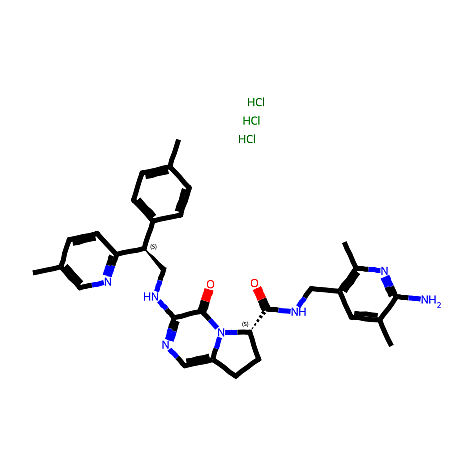 Cc1ccc([C@@H](CNc2ncc3n(c2=O)[C@H](C(=O)NCc2cc(C)c(N)nc2C)CC3)c2ccc(C)cn2)cc1.Cl.Cl.Cl